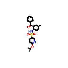 Cc1ccc(NS(=O)(=O)c2ccc(OC(C)C)nc2)c(C(=O)c2ccccc2)c1